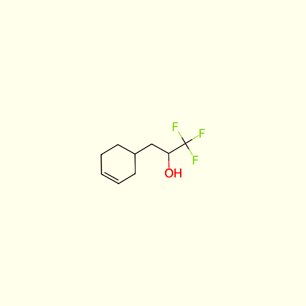 OC(CC1CC=CCC1)C(F)(F)F